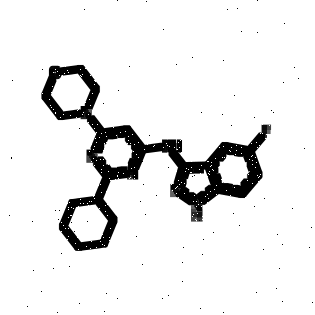 Fc1ccc2[nH]nc(Nc3cc(N4CCOCC4)nc(C4CCCCC4)n3)c2c1